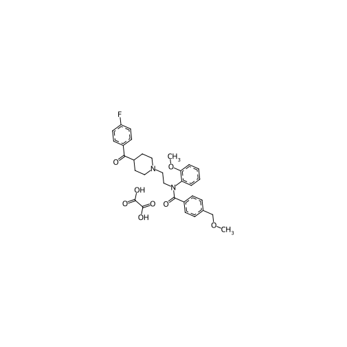 COCc1ccc(C(=O)N(CCN2CCC(C(=O)c3ccc(F)cc3)CC2)c2ccccc2OC)cc1.O=C(O)C(=O)O